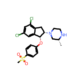 C[C@@H]1CN([C@H]2Cc3c(Cl)cc(Cl)cc3[C@H]2Oc2ccc(S(C)(=O)=O)cc2)CCN1